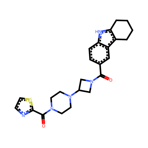 O=C(c1ccc2[nH]c3c(c2c1)CCCC3)N1CC(N2CCN(C(=O)c3nccs3)CC2)C1